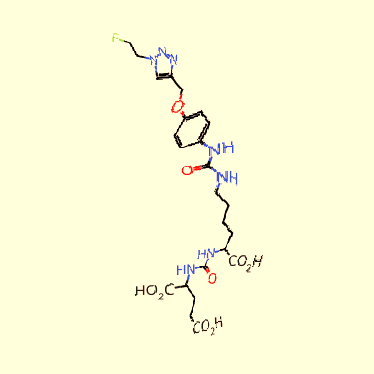 O=C(O)CCC(NC(=O)NC(CCCCNC(=O)Nc1ccc(OCc2cn(CCF)nn2)cc1)C(=O)O)C(=O)O